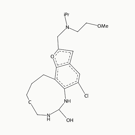 COCCN(Cc1cc2cc(Cl)c3c(c2o1)CCCCCNC(O)N3)C(C)C